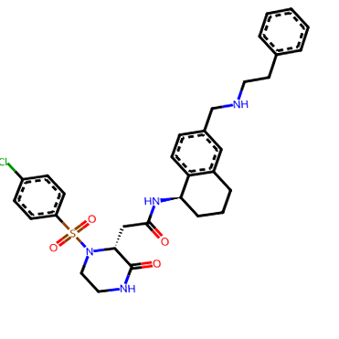 O=C(C[C@@H]1C(=O)NCCN1S(=O)(=O)c1ccc(Cl)cc1)N[C@@H]1CCCc2cc(CNCCc3ccccc3)ccc21